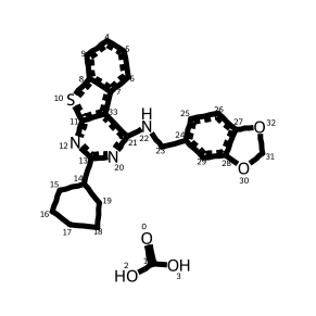 O=C(O)O.c1ccc2c(c1)sc1nc(C3CCCCC3)nc(NCc3ccc4c(c3)OCO4)c12